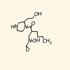 CCCCC(CN(O)C=O)C(=O)N1CCNCC1CCO